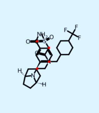 CS(=O)(=O)CC(=O)N(CCN1[C@@H]2CC[C@H]1C[C@@H](c1cccc(C(N)=O)c1)C2)CC1CCC(C(F)(F)F)CC1